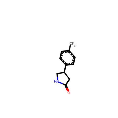 O=C1C[C](c2ccc(C(F)(F)F)cc2)CN1